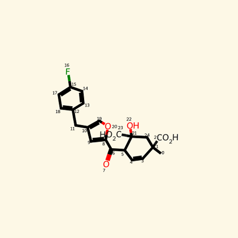 CC1(C(=O)O)C=CC(C(=O)c2cc(Cc3ccc(F)cc3)co2)C(O)(C(=O)O)C1